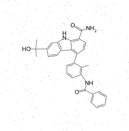 Cc1c(NC(=O)c2ccccc2)cccc1-c1ccc(C(N)=O)c2[nH]c3cc(C(C)(C)O)ccc3c12